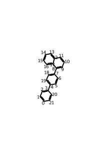 c1ccc(-c2ccc(-c3cccc4ccccc34)cc2)cc1